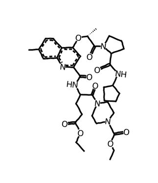 CCOC(=O)CCC(NC(=O)c1cc(O[C@H](C)C(=O)N2CCCC2C(=O)NC2CCCC2)c2ccc(C)cc2n1)C(=O)N1CCN(C(=O)OCC)CC1